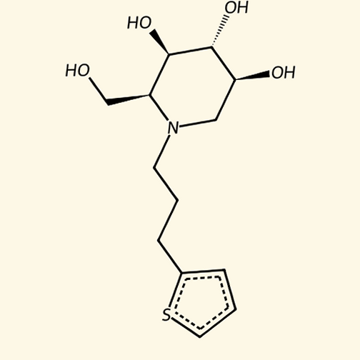 OC[C@H]1[C@@H](O)[C@H](O)[C@@H](O)CN1CCCc1cccs1